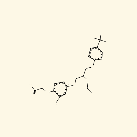 CCOC(COc1ccc(C(F)(F)F)cc1)COc1ccc(OCC(=O)O)c(C)c1